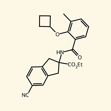 CCOC(=O)C1(NC(=O)c2cccc(C)c2OC2CCC2)Cc2ccc(C#N)cc2C1